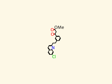 COC(=O)CC(=O)c1cccc(CCc2ccc3ccc(Cl)cc3n2)c1